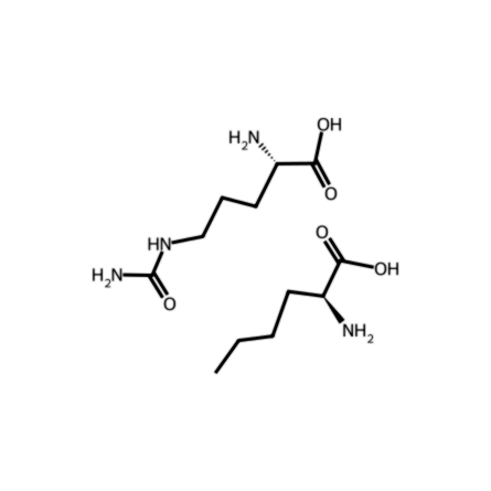 CCCC[C@H](N)C(=O)O.NC(=O)NCCC[C@H](N)C(=O)O